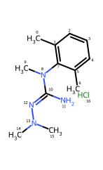 Cc1cccc(C)c1N(C)/C(N)=N/N(C)C.Cl